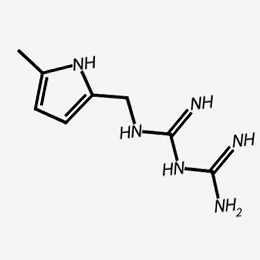 Cc1ccc(CNC(=N)NC(=N)N)[nH]1